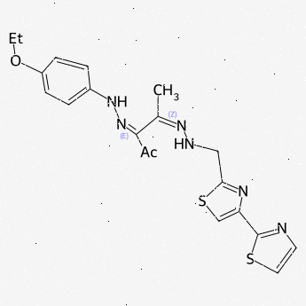 CCOc1ccc(N/N=C(C(C)=O)\C(C)=N/NCc2nc(-c3nccs3)cs2)cc1